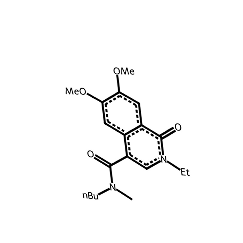 CCCCN(C)C(=O)c1cn(CC)c(=O)c2cc(OC)c(OC)cc12